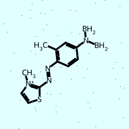 BN(B)c1ccc(/N=N/c2scc[n+]2C)c(C)c1